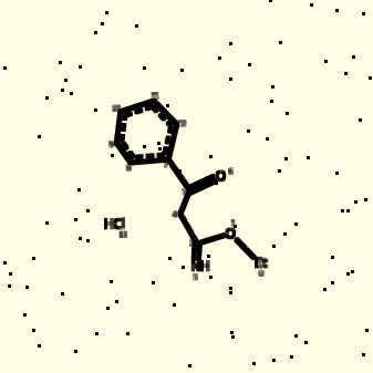 CCOC(=N)CC(=O)c1ccccc1.Cl